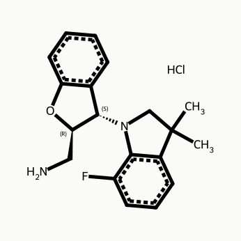 CC1(C)CN([C@H]2c3ccccc3O[C@@H]2CN)c2c(F)cccc21.Cl